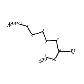 [CH2]CC(CCCCCSC)SC(C)(C)C